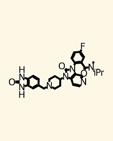 CC(C)N(C)C(=O)c1cc(F)ccc1-n1c(=O)n(C2CCN(Cc3ccc4[nH]c(=O)[nH]c4c3)CC2)c2ccncc21